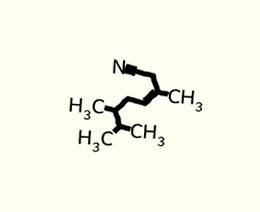 CC(=CCC(C)C(C)C)CC#N